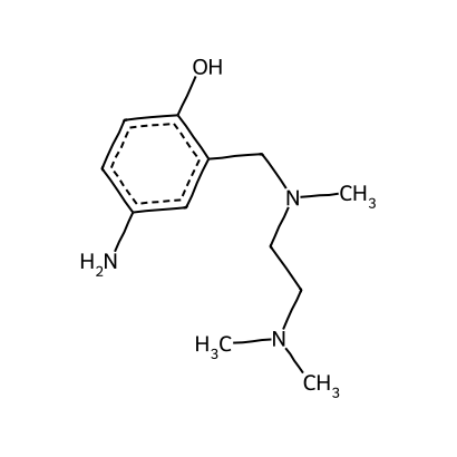 CN(C)CCN(C)Cc1cc(N)ccc1O